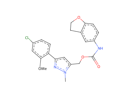 COc1cc(Cl)ccc1-c1cc(COC(=O)Nc2ccc3c(c2)CCO3)n(C)n1